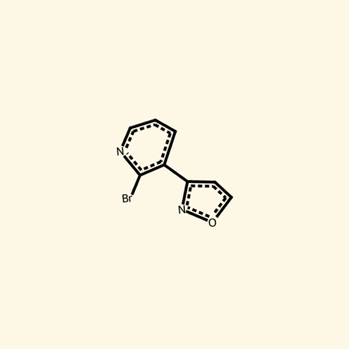 Brc1ncccc1-c1ccon1